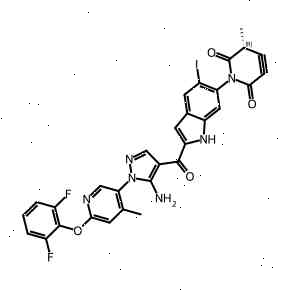 Cc1cc(Oc2c(F)cccc2F)ncc1-n1ncc(C(=O)c2cc3cc(I)c(N4C(=O)C#C[C@@H](C)C4=O)cc3[nH]2)c1N